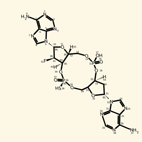 Nc1ncnc2c1ncn2[C@@H]1O[C@@H]2COP(=O)(O)O[C@H]3C[C@H](n4cnc5c(N)ncnc54)OC3CO[P@@](=O)(S)O[C@H]2[C@H]1F